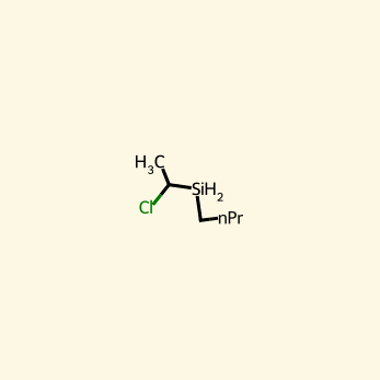 CCCC[SiH2]C(C)Cl